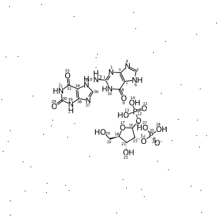 Nc1nc2nc[nH]c2c(=O)[nH]1.O=P(O)(O)OC1O[C@H](CO)[C@@H](O)[C@H]1OP(=O)(O)O.O=c1[nH]c(=O)c2[nH]cnc2[nH]1